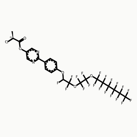 C[C@H](Cl)C(=O)Oc1cnc(-c2ccc(OC(F)C(F)(F)OC(F)(F)C(F)(F)OC(F)(F)C(F)(F)C(F)(F)C(F)(F)C(F)(F)C(F)(F)F)cc2)nc1